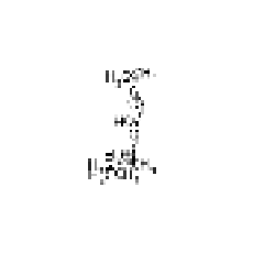 CN(C)CCN1CCN(CC(O)COCCC[Si](C)(C)CC[Si](C)(C)C)CC1